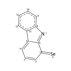 [Se]=C1C=CC=C2C1=Nc1ccccc12